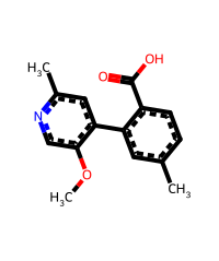 COc1cnc(C)cc1-c1cc(C)ccc1C(=O)O